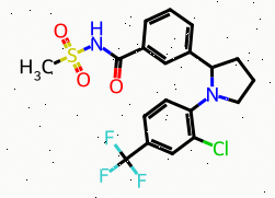 CS(=O)(=O)NC(=O)c1cccc(C2CCCN2c2ccc(C(F)(F)F)cc2Cl)c1